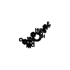 O=C(NCC[C@H]1Nc2cccc(c2)C(n2cnc(-c3cc(Cl)ccc3-n3cc(Cl)nn3)cc2=O)CCCCCNC1=O)c1ccn(C(F)F)n1